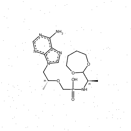 C[C@H](Cn1cnc2c(N)ncnc21)OCP(=O)(O)N[C@H](C)C1OCCCCO1